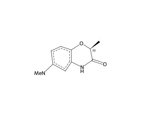 CNc1ccc2c(c1)NC(=O)[C@H](C)O2